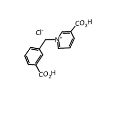 O=C(O)c1cccc(C[n+]2cccc(C(=O)O)c2)c1.[Cl-]